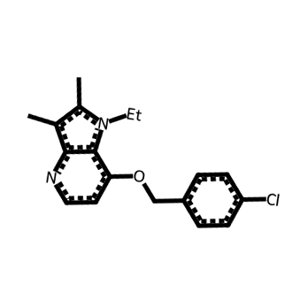 CCn1c(C)c(C)c2nccc(OCc3ccc(Cl)cc3)c21